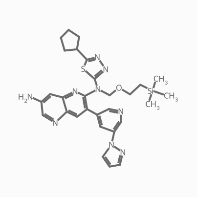 C[Si](C)(C)CCOCN(c1nnc(C2CCCC2)s1)c1nc2cc(N)cnc2cc1-c1cncc(-n2cccn2)c1